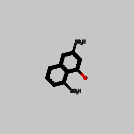 [O]c1cc(S(=O)(=O)O)cc2cccc(S(=O)(=O)O)c12